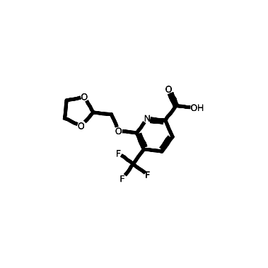 O=C(O)c1ccc(C(F)(F)F)c(OCC2OCCO2)n1